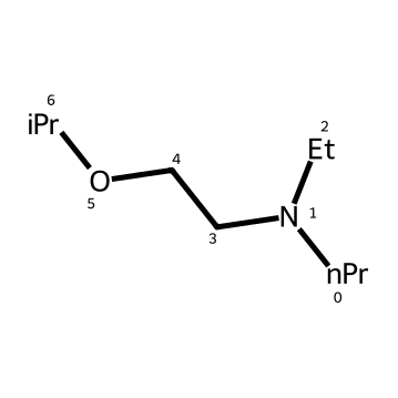 CCCN(CC)CCOC(C)C